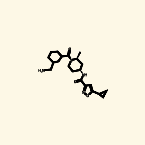 C[C@H]1C[C@H](NC(=O)c2cc(C3CC3)on2)CCN1C(=O)C1CCCC(CN)C1